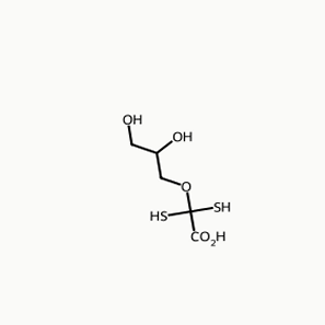 O=C(O)C(S)(S)OCC(O)CO